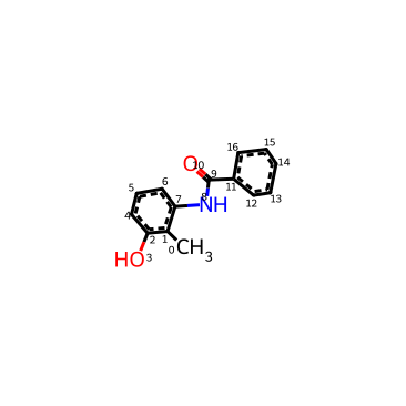 Cc1c(O)cccc1NC(=O)c1ccccc1